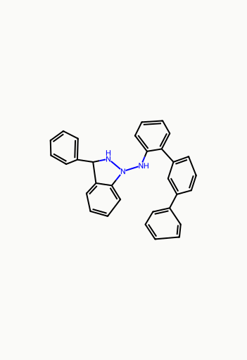 c1ccc(-c2cccc(-c3ccccc3NN3NC(c4ccccc4)c4ccccc43)c2)cc1